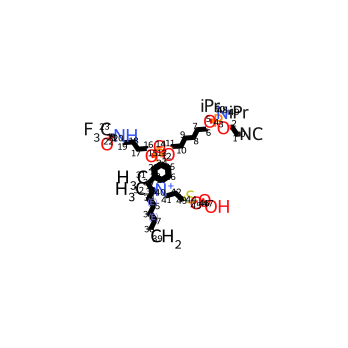 [C-]#[N+]CCOP(OCCCCCCOP(=O)(OCCCCNC(=O)C(F)(F)F)c1ccc2c(c1)C(C)(C)C(/C=C/C=C/C=C)=[N+]2CCCSOOO)N(C(C)C)C(C)C